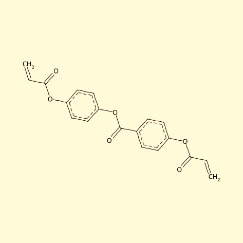 C=CC(=O)Oc1ccc(OC(=O)c2ccc(OC(=O)C=C)cc2)cc1